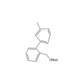 CCCCCCCCCCc1ccccc1-c1cccc(C)c1